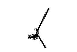 CCCCCCCCCCCCCCCCCCCCC(=O)OC[C@H](COP(=O)(O)OCC[N+](C)(C)C)OC(=O)CCCCCCCCCCC